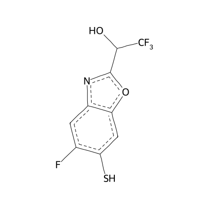 OC(c1nc2cc(F)c(S)cc2o1)C(F)(F)F